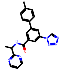 Cc1ccc(-c2cc(C(=O)NC(C)c3ncccn3)cc(-n3cnnn3)c2)cc1